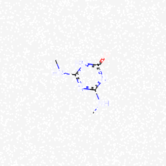 CNc1nc(NC)[nH]c(=O)n1